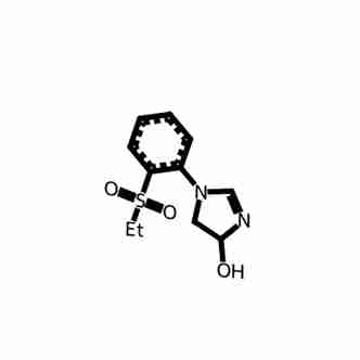 CCS(=O)(=O)c1ccccc1N1C=NC(O)C1